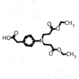 CCOC(=O)CCN(CCC(=O)OCC)c1ccc(CC(=O)O)cc1